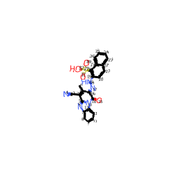 CC1=C(C#N)c2nc3ccccc3n2C(=O)/C1=N/Nc1ccc2ccccc2c1S(=O)(=O)O